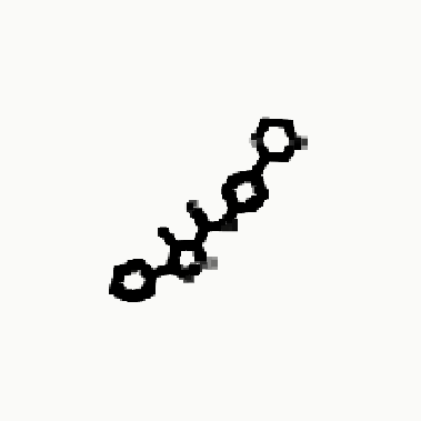 Cc1c(-c2ccccc2)n[nH]c1C(=O)Nc1ccc(C2CNCCO2)cc1